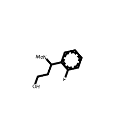 CNC(CCO)c1ccccc1F